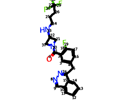 O=C(c1cc(Cc2nncc3ccccc23)ccc1F)N1CC(NCCCC(F)(F)F)C1